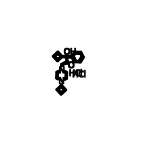 Cl.Cl.O=C(CN1CCN(C2CCC2)CC1)C(O)(c1ccccc1)C1CCC1